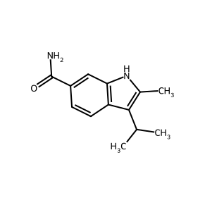 Cc1[nH]c2cc(C(N)=O)ccc2c1C(C)C